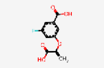 C=C(Oc1cc(F)cc(C(=O)O)c1)C(=O)O